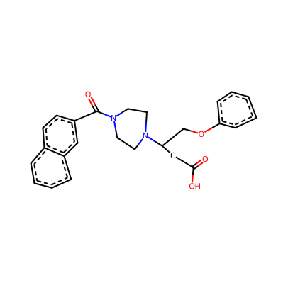 O=C(O)CC(COc1ccccc1)N1CCN(C(=O)c2ccc3ccccc3c2)CC1